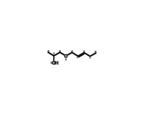 CCC=CCOCC(C)O